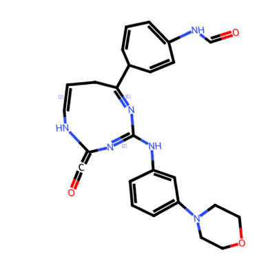 O=C=C1/N=C(Nc2cccc(N3CCOCC3)c2)\N=C(\C2C=CC=C(NC=O)C=C2)C/C=C\N1